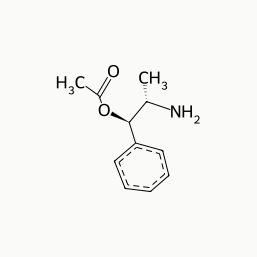 CC(=O)O[C@H](c1ccccc1)[C@H](C)N